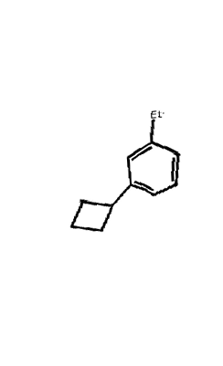 C[CH]c1cccc(C2CCC2)c1